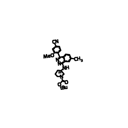 COc1cc(C#N)ccc1-c1nnc(N[C@@H]2CCCN(C(=O)OC(C)(C)C)C2)c2cc(C)ccc12